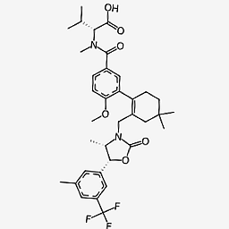 COc1ccc(C(=O)N(C)[C@@H](C(=O)O)C(C)C)cc1C1=C(CN2C(=O)O[C@H](c3cc(C)cc(C(F)(F)F)c3)[C@@H]2C)CC(C)(C)CC1